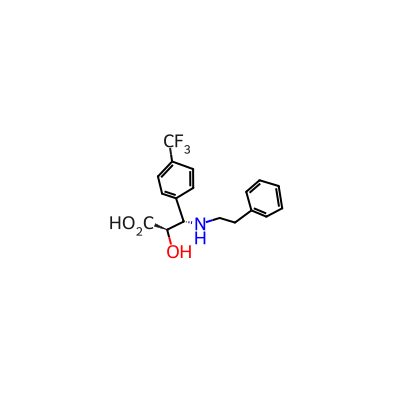 O=C(O)[C@H](O)[C@@H](NCCc1ccccc1)c1ccc(C(F)(F)F)cc1